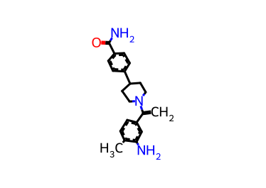 C=C(c1ccc(C)c(N)c1)N1CCC(c2ccc(C(N)=O)cc2)CC1